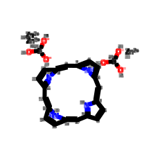 C1=Cc2cc3ccc(cc4nc(cc5ccc(cc1n2)[nH]5)C=C4)[nH]3.[O-]B([O-])[O-].[O-]B([O-])[O-].[Zn+2].[Zn+2].[Zn+2]